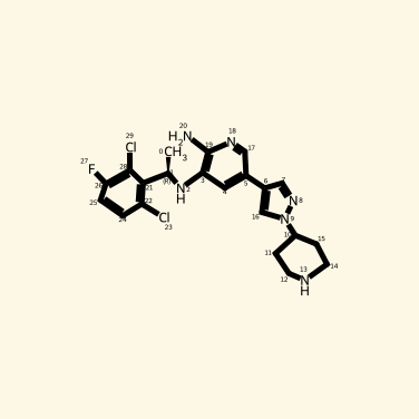 C[C@@H](Nc1cc(-c2cnn(C3CCNCC3)c2)cnc1N)c1c(Cl)ccc(F)c1Cl